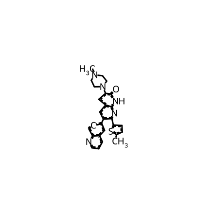 Cc1ccc(-c2nc3[nH]c(=O)c(N4CCN(C)CC4)cc3cc2-c2ccc3ncccc3c2)s1